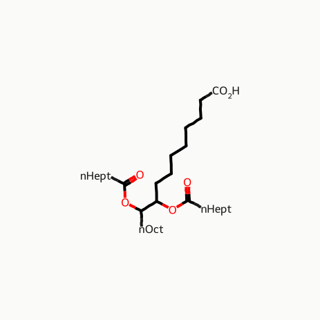 CCCCCCCCC(OC(=O)CCCCCCC)C(CCCCCCCC(=O)O)OC(=O)CCCCCCC